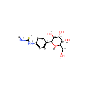 CNC(=S)Nc1ccc(C2OC(CO)[C@@H](O)[C@@H](O)C2O)cc1